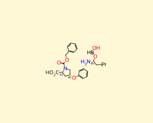 CC(C)C[C@H](N)OBO.O=C(O)[C@@H]1C[C@@H](Oc2ccccc2)CN1C(=O)OCc1ccccc1